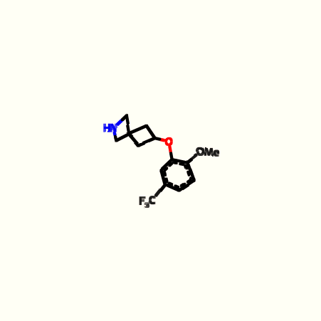 COc1ccc(C(F)(F)F)cc1OC1CC2(CNC2)C1